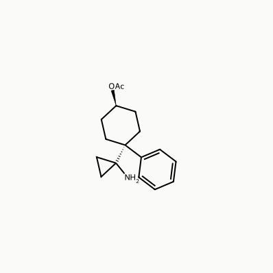 CC(=O)O[C@H]1CC[C@](c2ccccc2)(C2(N)CC2)CC1